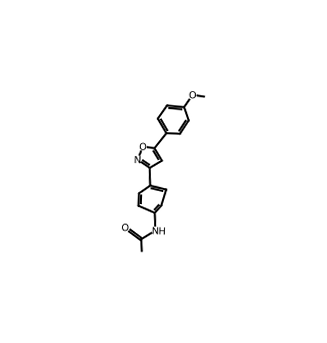 COc1ccc(-c2cc(-c3ccc(NC(C)=O)cc3)no2)cc1